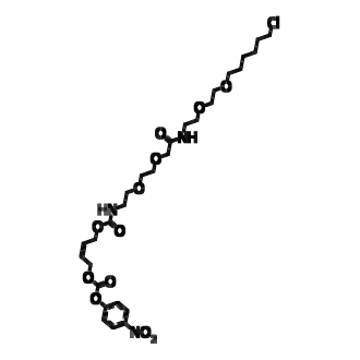 O=C(COCCOCCNC(=O)OC/C=C\COC(=O)Oc1ccc([N+](=O)[O-])cc1)NCCOCCOCCCCCCCl